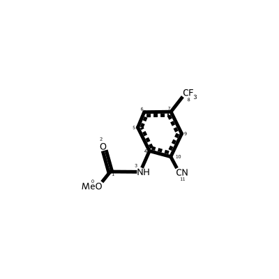 COC(=O)Nc1ccc(C(F)(F)F)cc1C#N